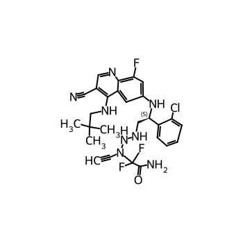 C#CN(NNC[C@@H](Nc1cc(F)c2ncc(C#N)c(NCC(C)(C)C)c2c1)c1ccccc1Cl)C(F)(F)C(N)=O